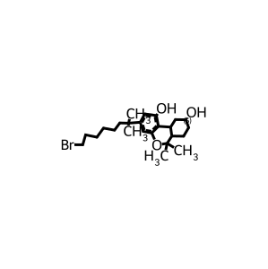 CC(C)(CCCCCCBr)c1cc(O)c2c(c1)OC(C)(C)C1CC[C@H](O)CC21